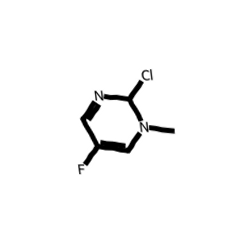 CN1C=C(F)C=NC1Cl